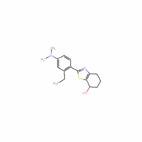 CCc1cc(N(C)C)ccc1-c1nc2c(s1)C(O)CCC2